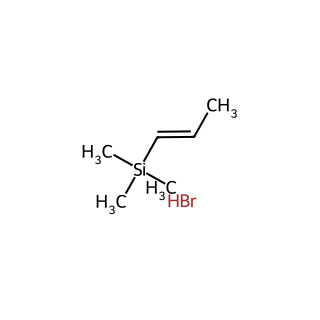 Br.CC=C[Si](C)(C)C